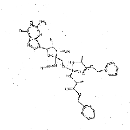 C[C@H](NP(=O)(N[C@@H](C)C(=O)OCc1ccccc1)OC[C@@]1(N=[N+]=[N-])O[C@@H](n2cnc3c(=O)[nH]c(N)nc32)[C@H](F)[C@@H]1O)C(=O)OCc1ccccc1